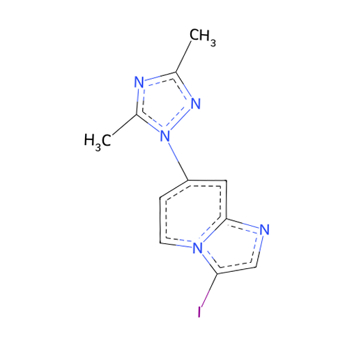 Cc1nc(C)n(-c2ccn3c(I)cnc3c2)n1